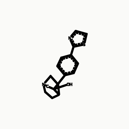 OC1(c2ccc(-c3nccs3)cc2)CN2CCC1CC2